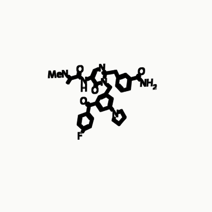 CNC(C)C(=O)Nc1cnc(Cc2cccc(C(N)=O)c2)n(Cc2cc(C(=O)c3ccc(F)cc3)cc(N3CCCC3)c2)c1=O